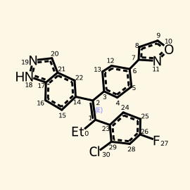 CC/C(=C(/c1ccc(-c2ccon2)cc1)c1ccc2[nH]ncc2c1)c1ccc(F)cc1Cl